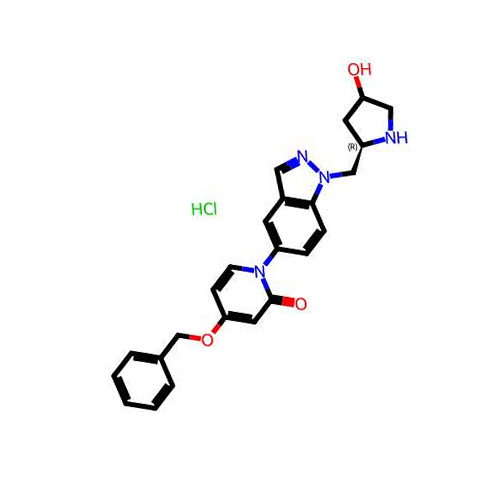 Cl.O=c1cc(OCc2ccccc2)ccn1-c1ccc2c(cnn2C[C@H]2CC(O)CN2)c1